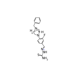 NC(=S)N/N=C/c1ccc(N2C[C@@H]3C[C@H]2CN3Cc2ccccc2)c(F)c1